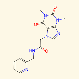 Cn1c(=O)c2c(ncn2CC(=O)NCc2ccccn2)n(C)c1=O